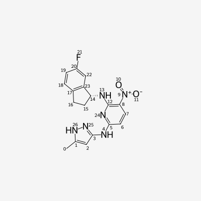 Cc1cc(Nc2ccc([N+](=O)[O-])c(N[C@@H]3CCc4ccc(F)cc43)n2)n[nH]1